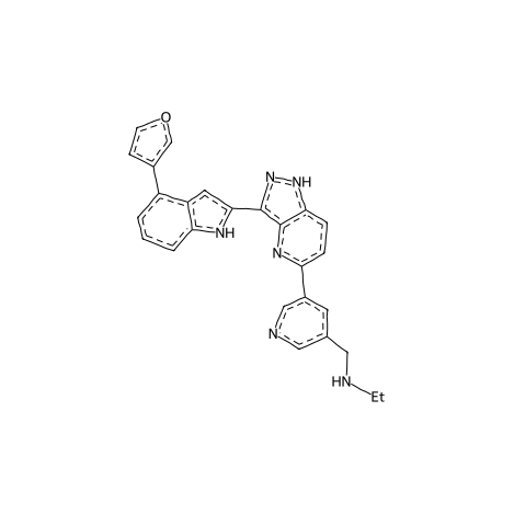 CCNCc1cncc(-c2ccc3[nH]nc(-c4cc5c(-c6ccoc6)cccc5[nH]4)c3n2)c1